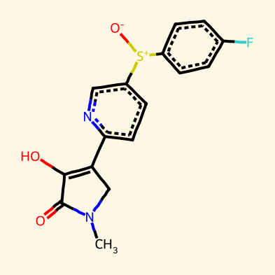 CN1CC(c2ccc([S+]([O-])c3ccc(F)cc3)cn2)=C(O)C1=O